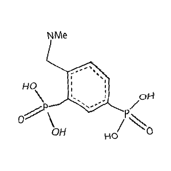 CNCc1ccc(P(=O)(O)O)cc1P(=O)(O)O